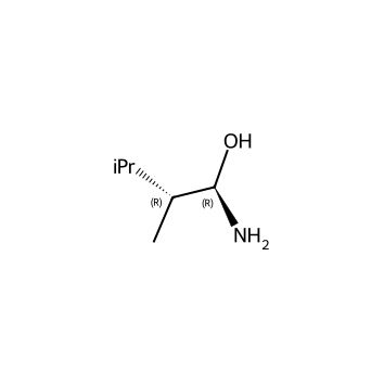 CC(C)[C@@H](C)[C@H](N)O